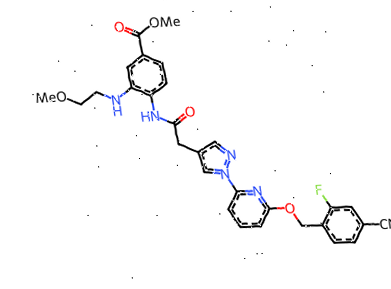 COCCNc1cc(C(=O)OC)ccc1NC(=O)Cc1cnn(-c2cccc(OCc3ccc(C#N)cc3F)n2)c1